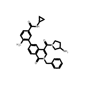 Cc1ccc(C(=O)NC2CC2)cc1-c1ccc2c(=O)n(Cc3ccccc3)cc(C(=O)N3CCC(N)C3)c2c1